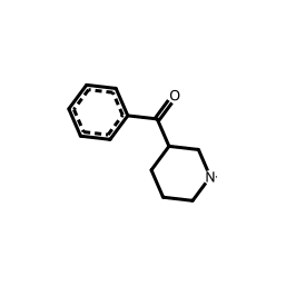 O=C(c1ccccc1)C1CCC[N]C1